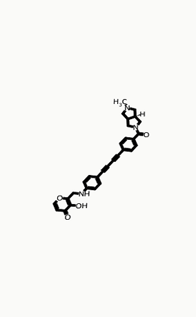 CN1CC2CN(C(=O)c3ccc(C#CC#Cc4ccc(NCc5occc(=O)c5O)cc4)cc3)C[C@@H]2C1